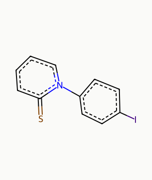 S=c1ccccn1-c1ccc(I)cc1